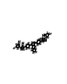 C[C@@H]1CN[C@H](c2ncc(-c3ccc(-c4ccc(-c5ccc(-c6cnc([C@@H]7C[C@H](C)CN7)[nH]6)cc5)c5c4CC4(CCCC4)C5)cc3)[nH]2)C1